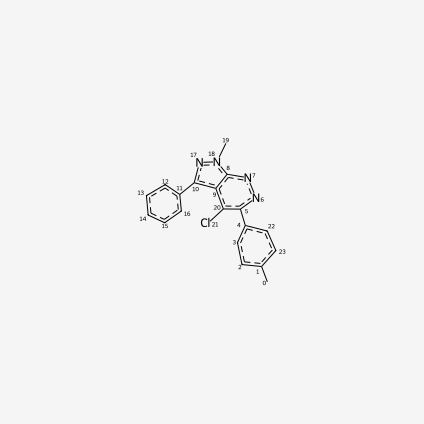 Cc1ccc(-c2nnc3c(c(-c4ccccc4)nn3C)c2Cl)cc1